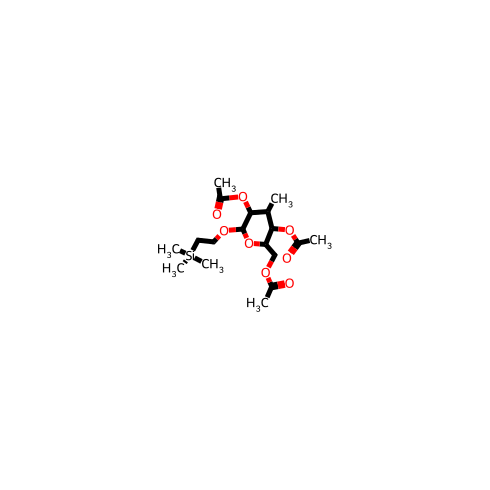 CC(=O)OCC1OC(OCC[Si](C)(C)C)C(OC(C)=O)C(C)C1OC(C)=O